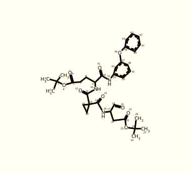 CC(C)(C)OC(=O)CCC(NC(=O)C1(C(=O)NC(C=O)CC(=O)OC(C)(C)C)CC1)C(=O)Nc1cccc(Oc2ccccc2)c1